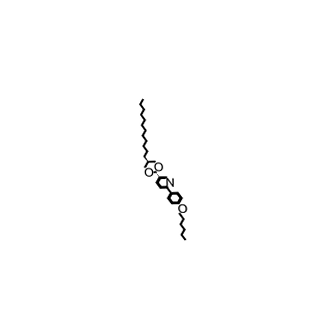 CCCCCCCCCCCC[C@H]1CO[C@H](c2ccc(-c3ccc(OCCCCCC)cc3)nc2)OC1